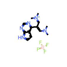 CN(C)/C=C(\C=[N+](C)C)c1ncnc2[nH]ccc12.F[B-](F)(F)F